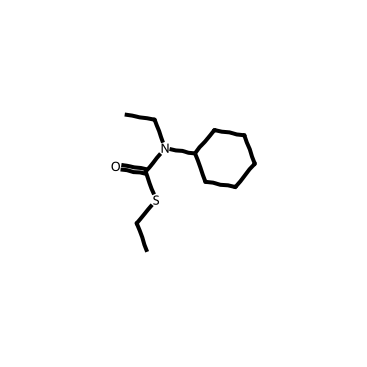 CCSC(=O)N(CC)C1CCCCC1